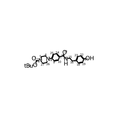 CC(C)(C)OC(=O)N1CCN(c2ccc(C(=O)NCCc3ccc(O)cc3)cc2)CC1